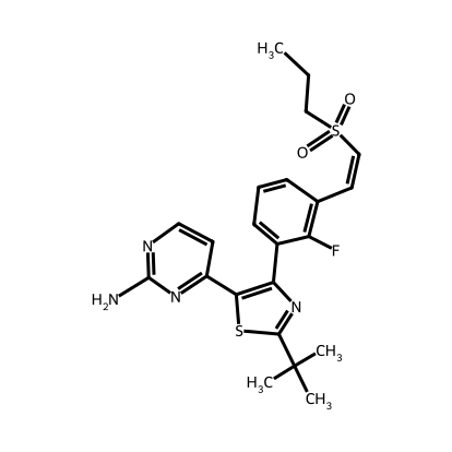 CCCS(=O)(=O)/C=C\c1cccc(-c2nc(C(C)(C)C)sc2-c2ccnc(N)n2)c1F